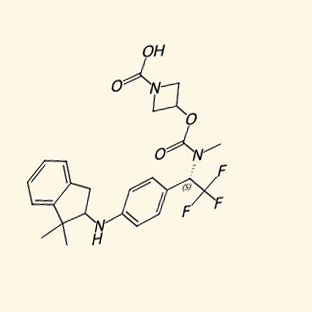 CN(C(=O)OC1CN(C(=O)O)C1)[C@@H](c1ccc(NC2Cc3ccccc3C2(C)C)cc1)C(F)(F)F